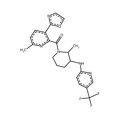 Cc1ccc(-c2ncco2)c(C(=O)N2CCCC(Nc3ccc(C(F)(F)F)cn3)C2C)n1